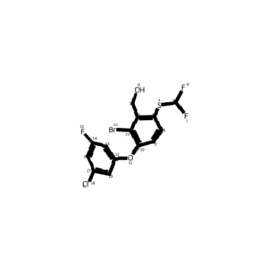 OCc1c(SC(F)F)ccc(Oc2cc(F)cc(Cl)c2)c1Br